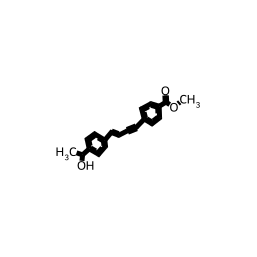 COC(=O)c1ccc(C#C/C=C/c2ccc(C(C)O)cc2)cc1